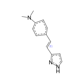 CN(C)c1ccc(/C=C/c2cc[nH]n2)cc1